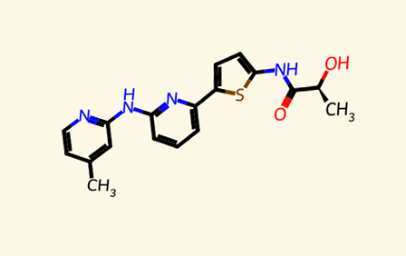 Cc1ccnc(Nc2cccc(-c3ccc(NC(=O)[C@H](C)O)s3)n2)c1